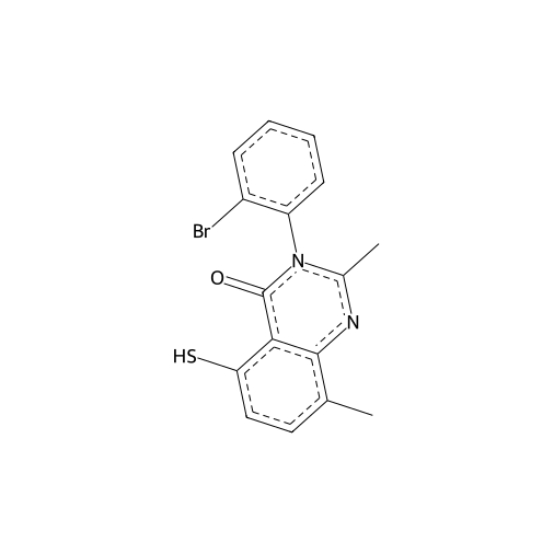 Cc1ccc(S)c2c(=O)n(-c3ccccc3Br)c(C)nc12